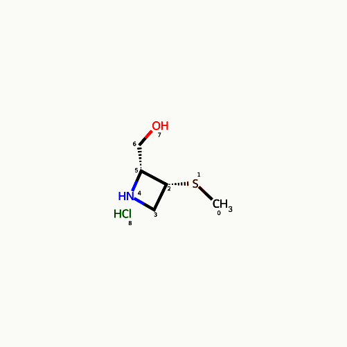 CS[C@@H]1CN[C@@H]1CO.Cl